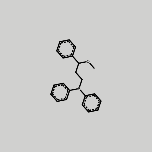 COC(CCP(c1ccccc1)c1ccccc1)c1ccccc1